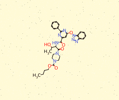 CCCCOC(=O)N1CCN(C(=O)C(NC(=O)c2cc(On3nnc4ccccc43)nc(-c3ccccc3)n2)C(C)O)CC1